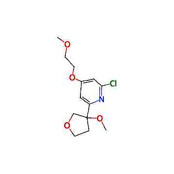 COCCOc1cc(Cl)nc(C2(OC)CCOC2)c1